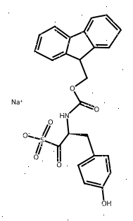 O=C(N[C@@H](Cc1ccc(O)cc1)C(=O)S(=O)(=O)[O-])OCC1c2ccccc2-c2ccccc21.[Na+]